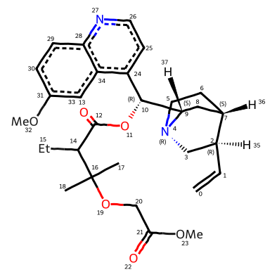 C=C[C@H]1C[N@]2CC[C@H]1C[C@H]2[C@H](OC(=O)C(CC)C(C)(C)OCC(=O)OC)c1ccnc2ccc(OC)cc12